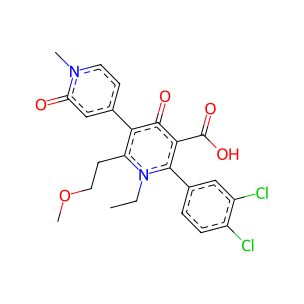 CCn1c(CCOC)c(-c2ccn(C)c(=O)c2)c(=O)c(C(=O)O)c1-c1ccc(Cl)c(Cl)c1